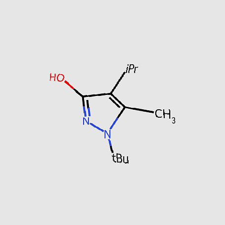 Cc1c(C(C)C)c(O)nn1C(C)(C)C